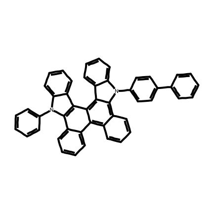 c1ccc(-c2ccc(-n3c4ccccc4c4c5c(c6ccccc6c6c5c5ccccc5n6-c5ccccc5)c5ccccc5c43)cc2)cc1